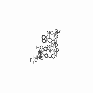 C=CC(=O)N1CCN(c2nc(OCC3CCC(CN4CCC(Cc5ccc(-n6c(C(=O)NCC(F)(F)F)nnc6-c6cc(C(C)C)c(O)cc6O)cc5)CC4)N3)nc3c2CCN(c2cccc4cccc(Cl)c24)C3)CC1CC#N